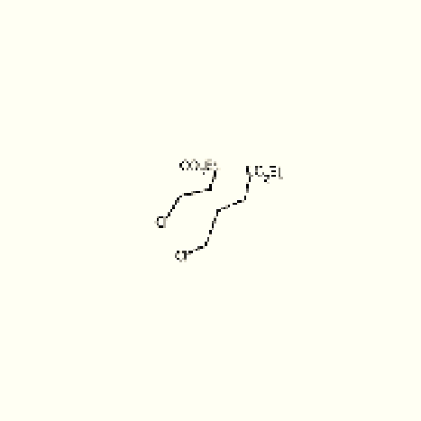 CCOC(=O)CCCCl.CCOC(=O)CCCl